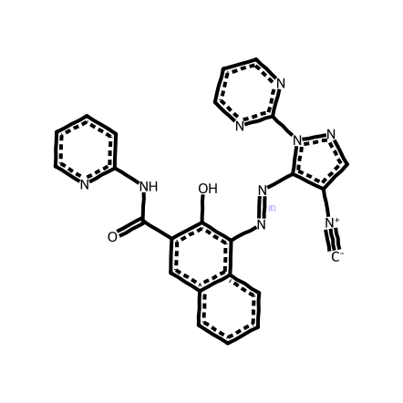 [C-]#[N+]c1cnn(-c2ncccn2)c1/N=N/c1c(O)c(C(=O)Nc2ccccn2)cc2ccccc12